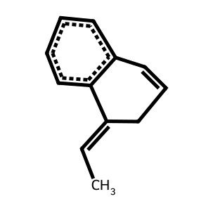 CC=C1CC=Cc2ccccc21